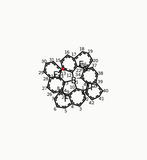 Fc1ccc2ccccc2c1[B-](c1c(F)ccc2ccccc12)(c1c(F)ccc2ccccc12)c1c(F)ccc2ccccc12